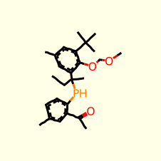 CCC(C)(Pc1ccc(C)cc1C(C)=O)c1cc(C)cc(C(C)(C)C)c1OCOC